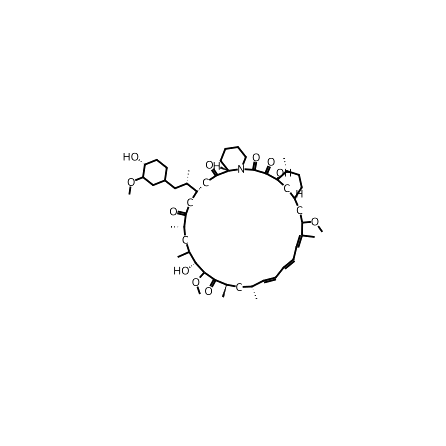 COC1C[C@H]2CC[C@@H](C)C(O)(C2)C(=O)C(=O)N2CCCC[C@H]2C(=O)C[C@@H]([C@@H](C)CC2CC[C@@H](O)C(OC)C2)CC(=O)[C@@H](C)CC(C)[C@@H](O)C(OC)C(=O)[C@H](C)C[C@@H](C)/C=C/C=C/C=C/1C